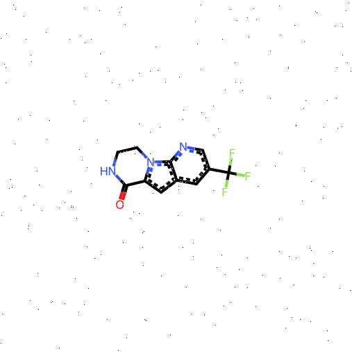 O=C1NCCn2c1cc1cc(C(F)(F)F)cnc12